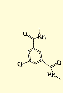 CNC(=O)c1cc(Cl)cc(C(=O)NC)c1